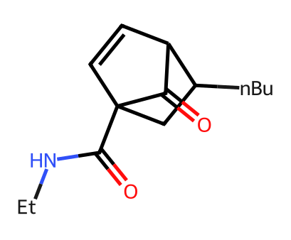 CCCCC1CC2(C(=O)NCC)C=CC1C2=O